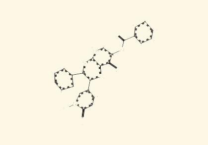 CC(C)n1cc(-c2nc3c(=O)c(NC(=O)c4ccccc4)c[nH]c3nc2-c2ccccc2)ccc1=O